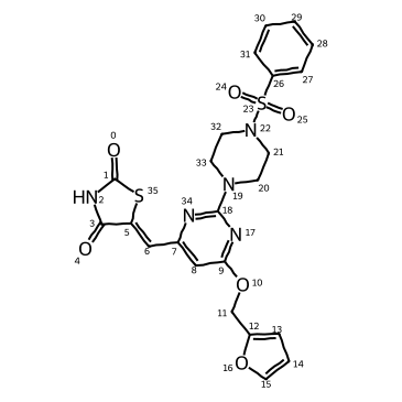 O=C1NC(=O)C(=Cc2cc(OCc3ccco3)nc(N3CCN(S(=O)(=O)c4ccccc4)CC3)n2)S1